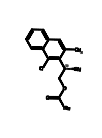 Cc1cc2ccccc2c(Cl)c1[C@H](O)COC(=O)C(C)(C)C